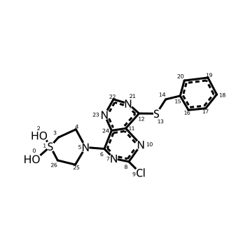 OS1(O)CCN(c2nc(Cl)nc3c(SCc4ccccc4)ncnc23)CC1